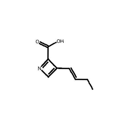 CCC=CC1=CN=C1C(=O)O